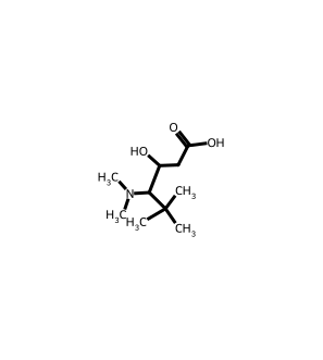 CN(C)C(C(O)CC(=O)O)C(C)(C)C